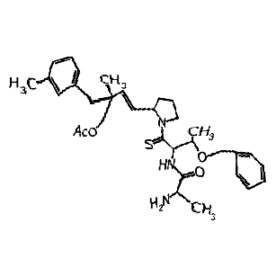 CC(=O)OC[C@@](C)(/C=C/C1CCCN1C(=S)C(NC(=O)C(C)N)C(C)OCc1ccccc1)Cc1cccc(C)c1